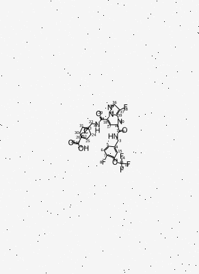 O=C(NCc1ccc(F)c(OC(F)(F)F)c1)c1cc(C(=O)NCC23CCC(C(=O)O)(CC2)CC3)n2ncc(F)c2n1